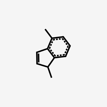 Cc1cccc2c1C=CC2C